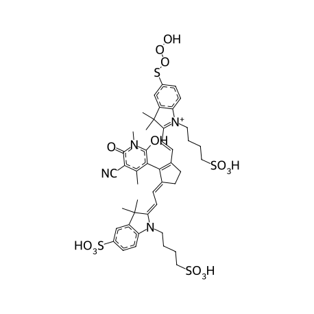 Cc1c(C2=C(C=CC3=[N+](CCCCS(=O)(=O)O)c4ccc(SOOO)cc4C3(C)C)CCC2=C/C=C2/N(CCCCS(=O)(=O)O)c3ccc(S(=O)(=O)O)cc3C2(C)C)c(O)n(C)c(=O)c1C#N